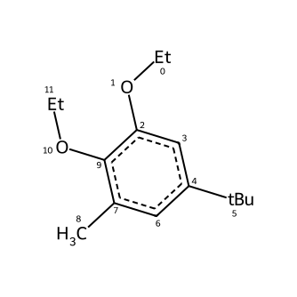 CCOc1cc(C(C)(C)C)cc(C)c1OCC